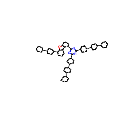 c1ccc(-c2ccc(-c3ccc(-c4nc(-c5ccc(-c6ccc(-c7ccccc7)cc6)cc5)nc(-c5cccc6oc7c(-c8ccc(-c9ccccc9)cc8)cccc7c56)n4)cc3)cc2)cc1